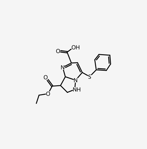 CCOC(=O)C1CNN2C(Sc3ccccc3)=CC(C(=O)O)=NC12